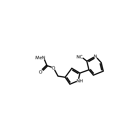 CNC(=O)OCc1c[nH]c(-c2cccnc2C#N)c1